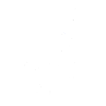 Cc1cc2c(cc1C1=CC(c3ccc(C(=O)O)cn3)CC1)C(C)(C)CCC2(C)C